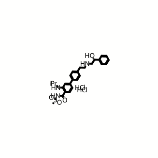 CC(C)Nc1cc(-c2ccc(CCNC[C@H](O)c3ccccc3)cc2)ccc1C(=O)NS(C)(=O)=O.Cl.Cl